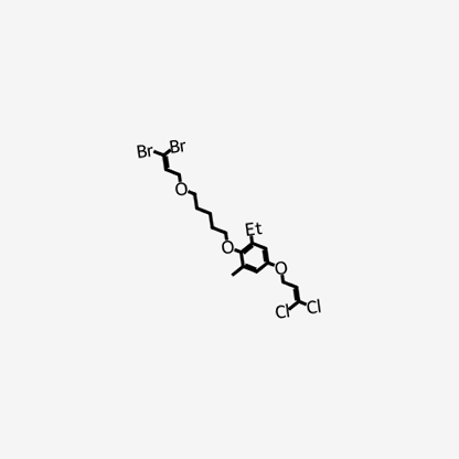 CCc1cc(OCC=C(Cl)Cl)cc(C)c1OCCCCCOCC=C(Br)Br